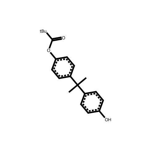 CC(C)(C)C(=O)Oc1ccc(C(C)(C)c2ccc(O)cc2)cc1